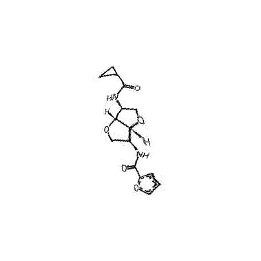 O=C(N[C@H]1CO[C@H]2[C@@H]1OC[C@@H]2NC(=O)C1CC1)c1ccco1